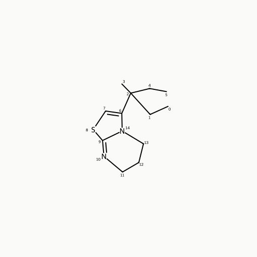 CCC(C)(CC)C1=CSC2=NCCCN12